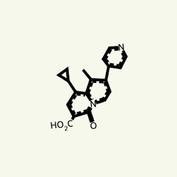 Cc1c(-c2ccncc2)ccn2c(=O)c(C(=O)O)cc(C3CC3)c12